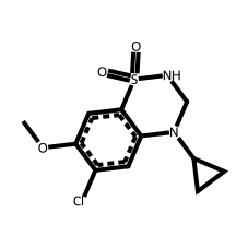 COc1cc2c(cc1Cl)N(C1CC1)CNS2(=O)=O